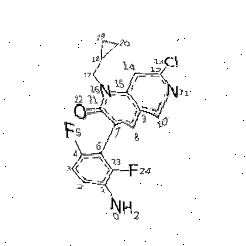 Nc1ccc(F)c(-c2cc3cnc(Cl)cc3n(CC3CC3)c2=O)c1F